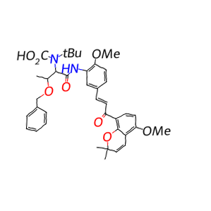 COc1ccc(/C=C/C(=O)c2ccc(OC)c3c2OC(C)(C)C=C3)cc1NC(=O)C(C(C)OCc1ccccc1)N(C(=O)O)C(C)(C)C